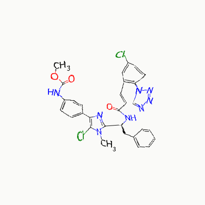 COC(=O)Nc1ccc(-c2nc([C@H](Cc3ccccc3)NC(=O)/C=C/c3cc(Cl)ccc3-n3cnnn3)n(C)c2Cl)cc1